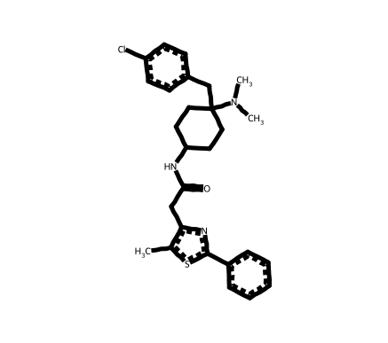 Cc1sc(-c2ccccc2)nc1CC(=O)NC1CCC(Cc2ccc(Cl)cc2)(N(C)C)CC1